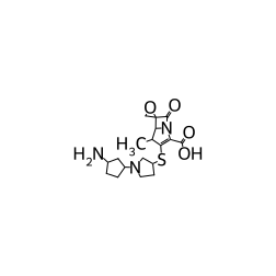 CC1C(SC2CCN(C3CCC(N)C3)C2)=C(C(=O)O)N2C(=O)C3(CO3)C12